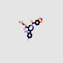 CCOC(=O)C1=CN(C(=O)c2ccc3c(c2)OCO3)CCc2c1[nH]c1cc(F)ccc21